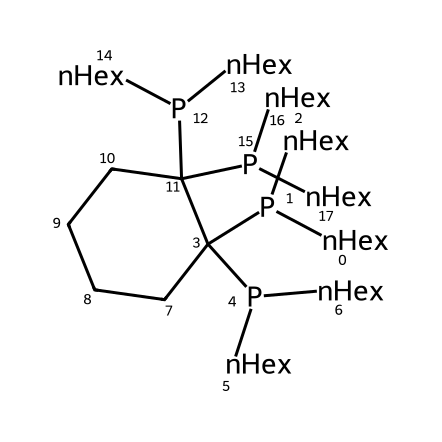 CCCCCCP(CCCCCC)C1(P(CCCCCC)CCCCCC)CCCCC1(P(CCCCCC)CCCCCC)P(CCCCCC)CCCCCC